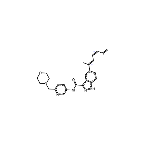 C=N/C=C\C=C(/C)c1ccc2[nH]nc(C(=O)Nc3ccc(CN4CCOCC4)nc3)c2c1